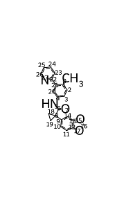 Cc1ccc(NC(=O)C2(c3ccc4c(c3)OCO4)CC2)cc1-c1ccccn1